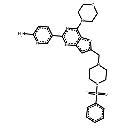 Nc1ccc(-c2nc(N3CCOCC3)c3sc(CN4CCN(S(=O)(=O)c5ccccc5)CC4)cc3n2)cn1